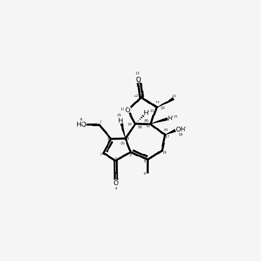 CC1=C2C(=O)C=C(CO)[C@@H]2[C@H]2OC(=O)[C@@H](C)[C@@H]2[C@@H](O)C1